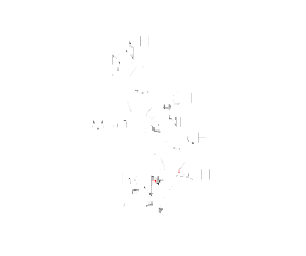 COc1cc(-c2cnn(C)c2)cc([C@@H](C)NC(=O)c2cc(N3C[C@H]4CC[C@@H](C3)N4CCCO)ccc2C)c1